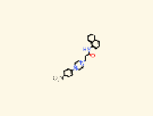 O=C(CCN1CCN(c2ccc([N+](=O)[O-])cc2)CC1)Nc1cccc2ccccc12